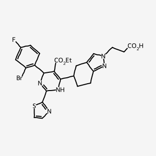 CCOC(=O)C1=C(C2CCc3nn(CCC(=O)O)cc3C2)NC(c2nccs2)=NC1c1ccc(F)cc1Br